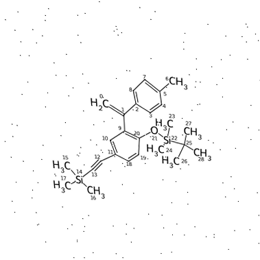 C=C(c1ccc(C)cc1)c1cc(C#C[Si](C)(C)C)ccc1O[Si](C)(C)C(C)(C)C